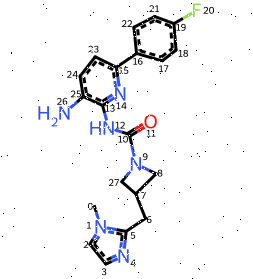 Cn1ccnc1CC1CN(C(=O)Nc2nc(-c3ccc(F)cc3)ccc2N)C1